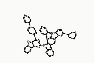 c1ccc(-c2ccc(-c3nc(-n4c5ccccc5c5cc6c7cc(-c8ccccc8)ccc7n7c8ccccc8c(c54)c67)nc4c3oc3ccccc34)cc2)cc1